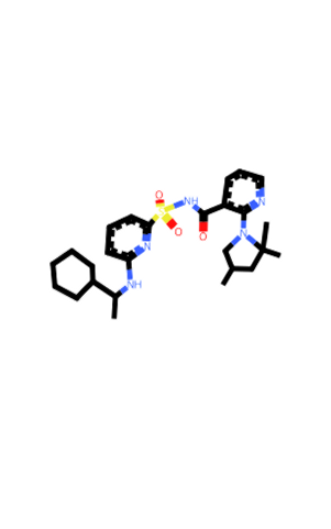 CC1CN(c2ncccc2C(=O)NS(=O)(=O)c2cccc(NC(C)C3CCCCC3)n2)C(C)(C)C1